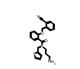 N#Cc1ccccc1COc1ccccc1C(=O)N(CCCN)Cc1cccs1